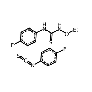 CCONC(=S)Nc1ccc(F)cc1.Fc1ccc(N=C=S)cc1